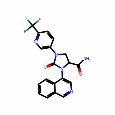 NC(=O)C1CN(c2ccc(C(F)(F)F)nc2)C(=O)N1c1cncc2ccccc12